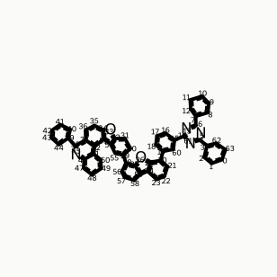 c1ccc(-c2nc(-c3ccccc3)nc(-c3cccc(-c4cccc5c4oc4c(-c6ccc7oc8ccc9c(-c%10ccccc%10)nc%10ccccc%10c9c8c7c6)cccc45)c3)n2)cc1